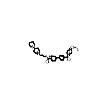 CN1CCN(C(=O)c2ccc(-c3ccc(C(=O)NCCCN4CCC(N5CCCCC5)CC4)cc3)cc2)CC1